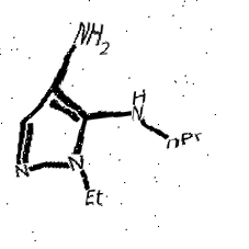 CCCNc1c(N)cnn1CC